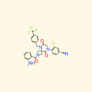 CNc1ccccc1C(=O)N1CC2(C1)C(=O)N(c1ccc(C#N)cc1F)CC(=O)N2Cc1ccc(C(F)(F)F)cc1